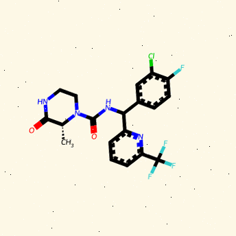 C[C@@H]1C(=O)NCCN1C(=O)NC(c1ccc(F)c(Cl)c1)c1cccc(C(F)(F)F)n1